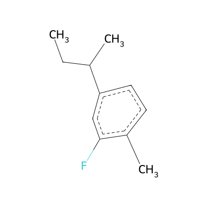 CCC(C)c1ccc(C)c(F)c1